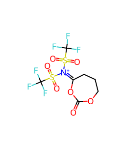 O=C1OCCCC(=[N+](S(=O)(=O)C(F)(F)F)S(=O)(=O)C(F)(F)F)O1